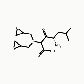 CC(C)C[C@H](N)C(=O)C(C(=O)O)N(CC1CO1)CC1CO1